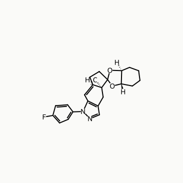 C[C@]12Cc3cnn(-c4ccc(F)cc4)c3C=C1CCC21O[C@H]2CCCC[C@@H]2O1